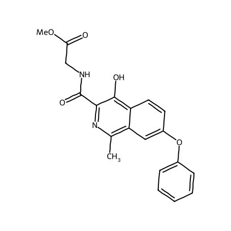 COC(=O)CNC(=O)c1nc(C)c2cc(Oc3ccccc3)ccc2c1O